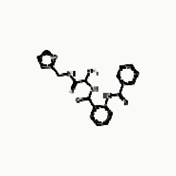 CC(NC(=O)c1ccccc1NC(=O)c1ccccc1)C(=O)NCc1ccco1